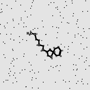 COCCOCOC1COC2(CC=CCC2)C1